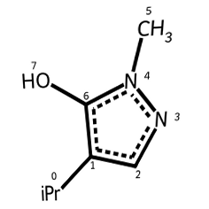 CC(C)c1cnn(C)c1O